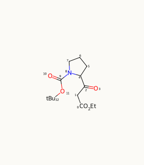 CCOC(=O)CC(=O)C1CCCN1C(=O)OC(C)(C)C